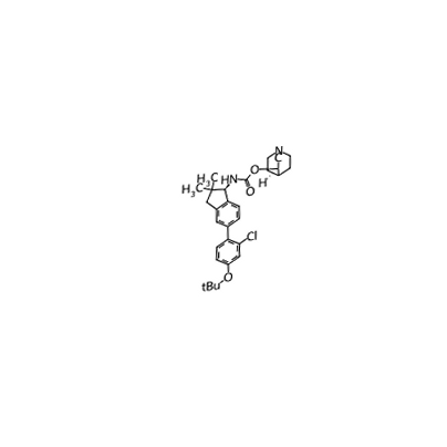 CC(C)(C)Oc1ccc(-c2ccc3c(c2)CC(C)(C)[C@H]3NC(=O)O[C@H]2CN3CCC2CC3)c(Cl)c1